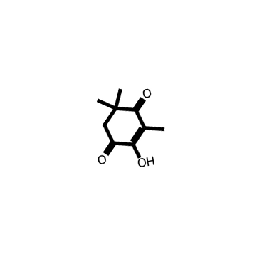 CC1=C(O)C(=O)CC(C)(C)C1=O